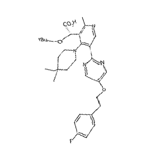 Cc1ncc(-c2ncc(OCCc3ccc(F)cc3)cn2)c(N2CCC(C)(C)CC2)c1[C@H](OC(C)(C)C)C(=O)O